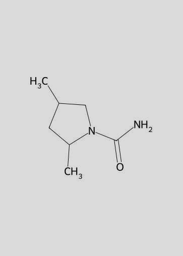 CC1CC(C)N(C(N)=O)C1